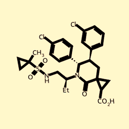 CC[C@@H](CNS(=O)(=O)C1(C)CC1)N1C(=O)C2(CC2C(=O)O)C[C@H](c2cccc(Cl)c2)[C@H]1c1ccc(Cl)cc1